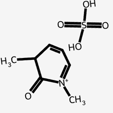 CC1C=CC=[N+](C)C1=O.O=S(=O)(O)O